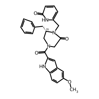 COc1ccc2[nH]c(C(=O)N3CC(=O)N(Cc4cccc(=O)[nH]4)[C@@H](Cc4ccccc4)C3)cc2c1